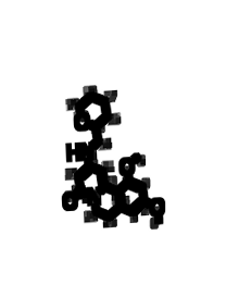 COc1cc2c(c(OC)c1)-c1cc(NCC3CCCCO3)cc(=O)n1CC2